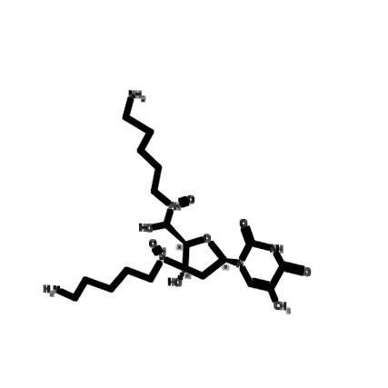 Cc1cn([C@H]2C[C@@](O)([PH](=O)CCCCCN)[C@@H](C(O)[PH](=O)CCCCCN)O2)c(=O)[nH]c1=O